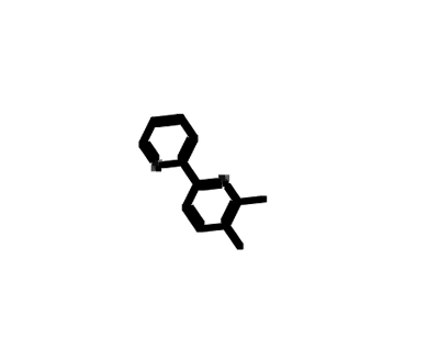 Cc1ccc(-c2ccccn2)nc1C